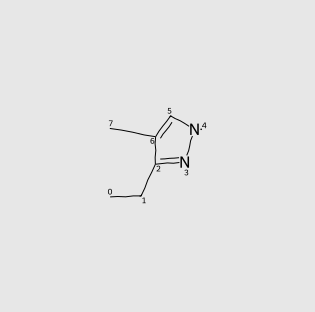 CCC1=N[N]C=C1C